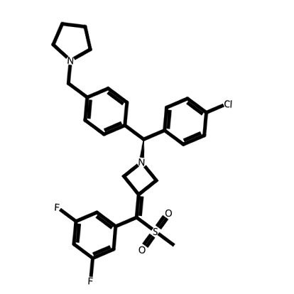 CS(=O)(=O)C(=C1CN([C@H](c2ccc(Cl)cc2)c2ccc(CN3CCCC3)cc2)C1)c1cc(F)cc(F)c1